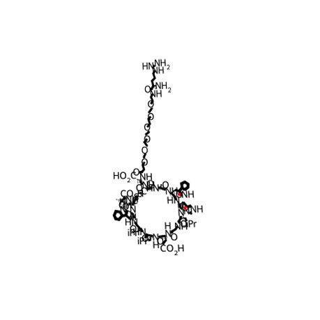 CC(C)C[C@@H]1NC(=O)[C@H](Cc2c[nH]cn2)NC(=O)[C@H](Cc2c[nH]c3ccccc23)NC(=O)[C@H](C)NC(=O)[C@@H](NC(=O)[C@H](CC(=O)O)NC(=O)CCOCCOCCOCCOCCOCCOCCNC(=O)[C@H](N)CCCNC(=N)N)CSSC[C@@H](C(=O)N[C@H](C(=O)O)[C@@H](C)O)NC(=O)[C@H](Cc2c[nH]c3ccccc23)NC(=O)[C@H](C(C)C)NC(=O)[C@H](CC(C)C)NC(=O)[C@H](CCC(=O)O)NC(=O)CNC1=O